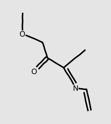 C=C/N=C(\C)C(=O)COC